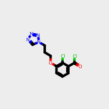 O=C(Cl)c1cccc(OCCCn2cnnn2)c1Cl